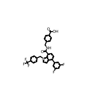 O=C(O)c1ccc(CNC(=O)c2ccc(-c3cc(F)cc(F)c3)c3ccn(Cc4ccc(C(F)(F)F)cc4)c23)cc1